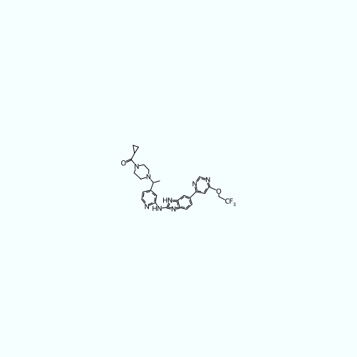 CC(c1ccnc(Nc2nc3ccc(-c4cc(OCC(F)(F)F)ncn4)cc3[nH]2)c1)N1CCN(C(=O)C2CC2)CC1